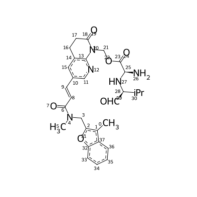 Cc1c(CN(C)C(=O)/C=C/c2cnc3c(c2)CCC(=O)N3COC(=O)[C@@H](N)N[C@H](C=O)C(C)C)oc2ccccc12